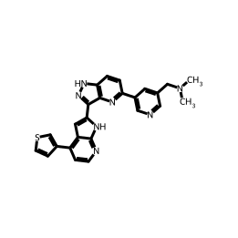 CN(C)Cc1cncc(-c2ccc3[nH]nc(-c4cc5c(-c6ccsc6)ccnc5[nH]4)c3n2)c1